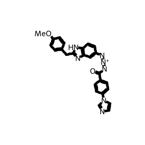 COc1ccc(Cc2nc3cc(N=[N+]=NC(=O)c4ccc(-n5ccnc5)cc4)ccc3[nH]2)cc1